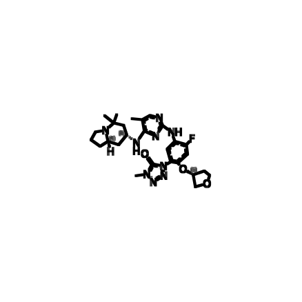 Cc1cnc(Nc2cc(-n3nnn(C)c3=O)c(O[C@H]3CCOC3)cc2F)nc1N[C@@H]1C[C@@H]2CCCN2C(C)(C)C1